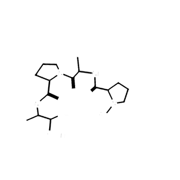 CC(=O)N1CCCC1C(=O)NC(C)C(=O)N1CCCC1C(=O)NC(C)C(O)C(=O)O